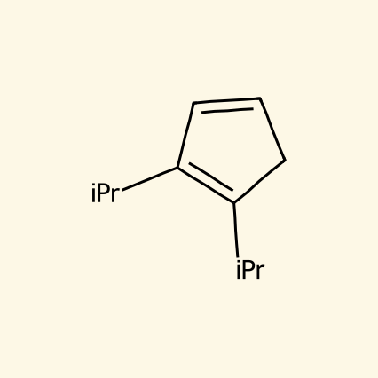 CC(C)C1=C(C(C)C)CC=C1